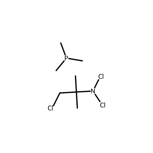 CC(C)(CCl)N(Cl)Cl.CP(C)C